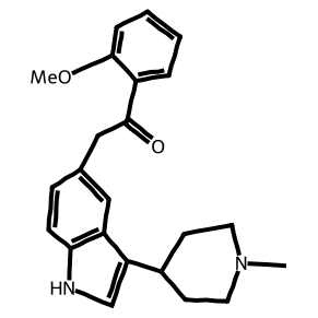 COc1ccccc1C(=O)Cc1ccc2[nH]cc(C3CCN(C)CC3)c2c1